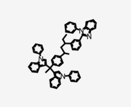 CCC(CC(C)c1ccc(C(C)(c2cn(-c3ccccc3)c3ccccc23)c2cn(-c3ccccc3)c3ccccc23)cc1)c1cccc(-c2nc3ccccc3n2-c2ccccc2)c1